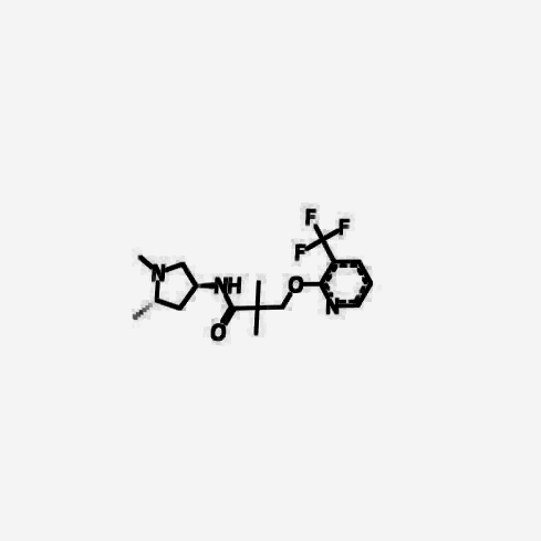 C[C@H]1C[C@H](NC(=O)C(C)(C)COc2ncccc2C(F)(F)F)CN1C